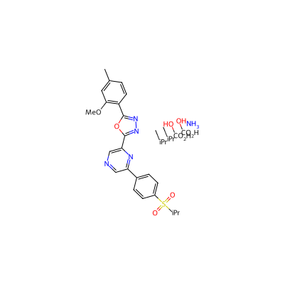 CC(C)C.CC(C)C.COc1cc(C)ccc1-c1nnc(-c2cncc(-c3ccc(S(=O)(=O)C(C)C)cc3)n2)o1.N.O=C(O)O.O=C(O)O